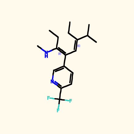 CC/C(NC)=C(\C=C(/CC)C(C)C)c1ccc(C(F)(F)F)nc1